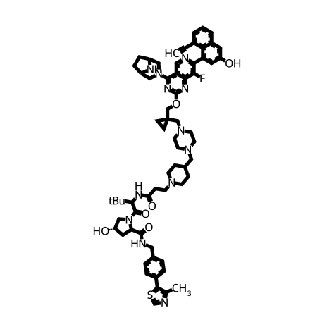 C#Cc1cccc2cc(O)cc(-c3ncc4c(N5CC6CCC(C5)N6)nc(OCC5(CN6CCN(CC7CCN(CCC(=O)NC(C(=O)N8C[C@@H](O)CC8C(=O)NCc8ccc(-c9scnc9C)cc8)C(C)(C)C)CC7)CC6)CC5)nc4c3F)c12